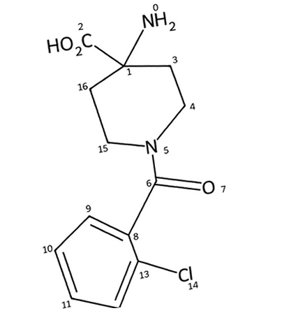 NC1(C(=O)O)CCN(C(=O)c2ccccc2Cl)CC1